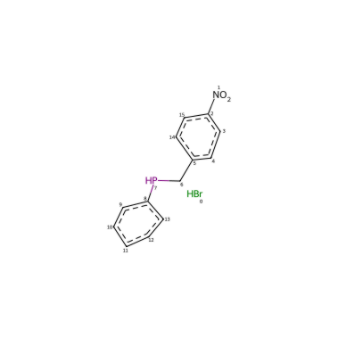 Br.O=[N+]([O-])c1ccc(CPc2ccccc2)cc1